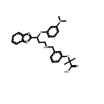 CN(C)c1cccc(OC(CCNCc2cccc(OC(C)(C)C(=O)O)c2)c2nc3ccccc3o2)c1